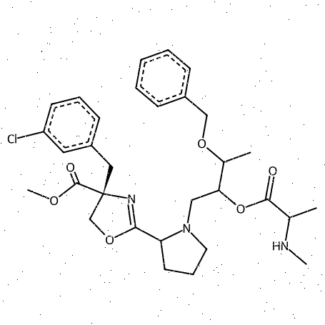 CNC(C)C(=O)OC(CN1CCCC1C1=N[C@@](Cc2cccc(Cl)c2)(C(=O)OC)CO1)C(C)OCc1ccccc1